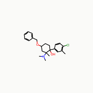 Cc1cc(C2(O)CCC(OCc3ccccc3)CC2(C)N(C)C)ccc1Cl